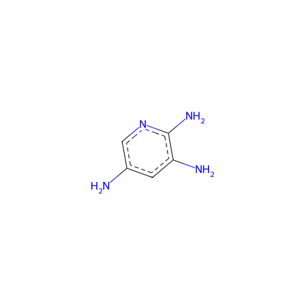 Nc1cnc(N)c(N)c1